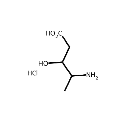 CC(N)C(O)CC(=O)O.Cl